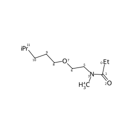 CCC(=O)N(C)CCOCCCC(C)C